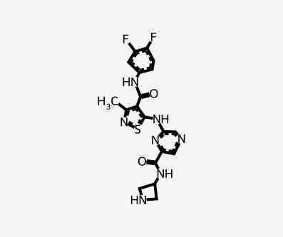 Cc1nsc(Nc2cncc(C(=O)NC3CNC3)n2)c1C(=O)Nc1ccc(F)c(F)c1